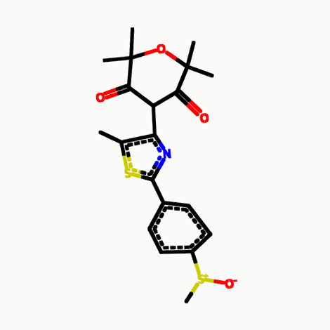 Cc1sc(-c2ccc([S+](C)[O-])cc2)nc1C1C(=O)C(C)(C)OC(C)(C)C1=O